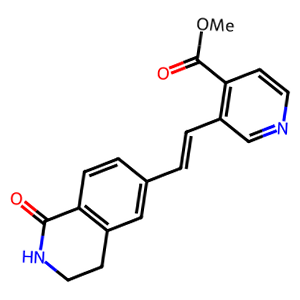 COC(=O)c1ccncc1/C=C/c1ccc2c(c1)CCNC2=O